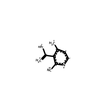 C=C(CCC)c1c(C)ccnc1C#N